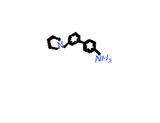 NCc1ccc(-c2cccc(CN3CCCCC3)c2)cc1